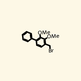 COc1c(CBr)ccc(-c2ccccc2)c1OC